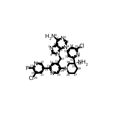 Nc1ncnc2c1ncn2Cc1cc(-c2cnc(F)c(Cl)c2)ncc1N1CCC[C@](N)(c2cccc(Cl)n2)C1